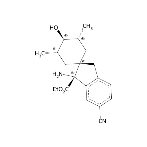 CCOC(=O)[C@]1(N)c2cc(C#N)ccc2C[C@@]12C[C@@H](C)[C@H](O)[C@@H](C)C2